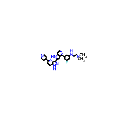 CN(C)CCNc1cc(F)cc(-c2nccc3[nH]c(-c4n[nH]c5ccc(-c6ccncc6)nc45)cc23)c1